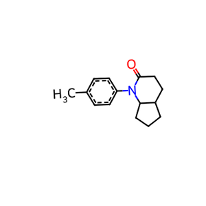 Cc1ccc(N2C(=O)CCC3CCCC32)cc1